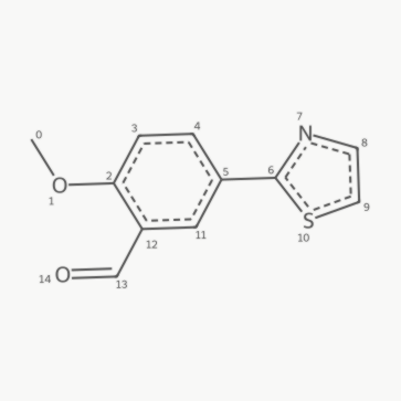 COc1ccc(-c2nccs2)cc1C=O